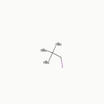 CCCCC(CI)(CCCC)CCCC